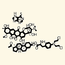 CC(=O)[C@H]1CC[C@H]2[C@@H]3CCC4=CC(=O)CC[C@]4(C)[C@H]3CC[C@]12C.CO[C@@H]1C[C@](C)(O)Cc2cc3c(c(O)c21)C(=O)c1c(O)cc2c(c1C3=O)O[C@@H]1O[C@@]2(C)[C@H](O)[C@@H](N(C)C)[C@@H]1O.N[C@@H](Cc1ccc(N(CCCl)CCCl)cc1)C(=O)O.S=c1nc[nH]c2nc[nH]c12